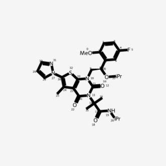 COc1ccc(F)cc1[C@H](Cn1c(=O)n(C(C)(C)C(=O)NC(C)C)c(=O)c2c(C)c(-n3cccn3)sc21)OC(C)C